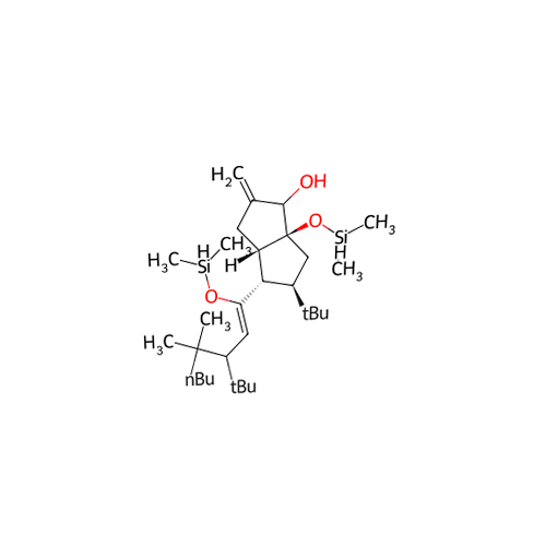 C=C1C[C@H]2[C@@H](C(=CC(C(C)(C)C)C(C)(C)CCCC)O[SiH](C)C)[C@H](C(C)(C)C)C[C@@]2(O[SiH](C)C)C1O